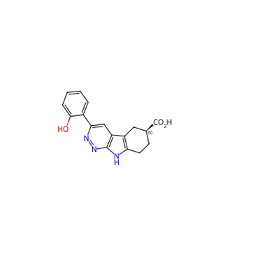 O=C(O)[C@H]1CCc2[nH]c3nnc(-c4ccccc4O)cc3c2C1